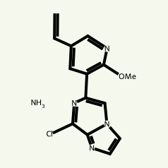 C=Cc1cnc(OC)c(-c2cn3ccnc3c(Cl)n2)c1.N